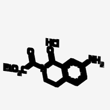 CCOC(=O)C(=O)N1CCc2ccc(N)cc2C1=O.Cl